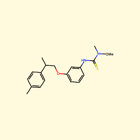 CON(C)C(=S)Nc1cccc(OCC(C)c2ccc(C)cc2)c1